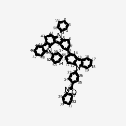 c1ccc(-n2c3ccc(-c4ccc5c(c4)c4ccccc4n5-c4ccc(-c5nc6ccccc6o5)cc4)cc3c3c2ccc2c4ccccc4n(-c4ccccc4)c23)cc1